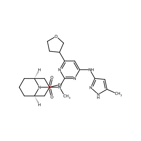 CCS(=O)(=O)N1[C@@H]2CCC[C@H]1CC(N(C)c1nc(Nc3cc(C)[nH]n3)cc(C3CCOC3)n1)C2